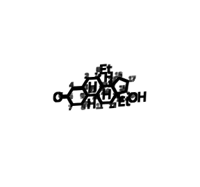 CC[C@@H]1CC2=CC(=O)CC[C@@H]2[C@H]2CCC3(CC)[C@@H](O)CC[C@H]3[C@H]12